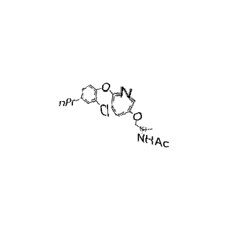 CCCc1ccc(Oc2ccc(OC[C@H](C)NC(C)=O)cn2)c(Cl)c1